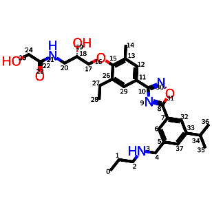 CCCNCc1cc(-c2nc(-c3cc(C)c(OC[C@@H](O)CNC(=O)CO)c(CC)c3)no2)cc(C(C)C)c1